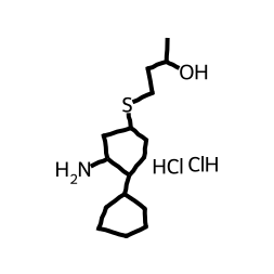 CC(O)CCSC1CCC(C2CCCCC2)C(N)C1.Cl.Cl